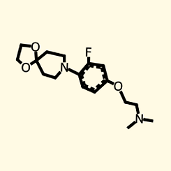 CN(C)CCOc1ccc(N2CCC3(CC2)OCCO3)c(F)c1